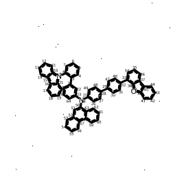 c1cc(-c2ccccc2-n2c3ccccc3c3ccccc32)cc(N(c2ccc(-c3ccc(-c4cccc5c4oc4ccccc45)cc3)cc2)c2cc3ccccc3c3ccccc23)c1